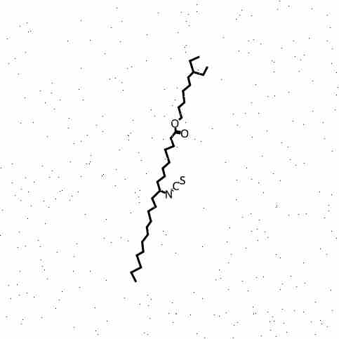 CCCCCCCCCCCCC(CCCCCCCC(=O)OCCCCCCC(CC)CC)N=C=S